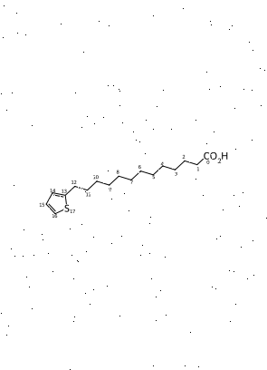 O=C(O)CCCCCCCCCCCCc1cccs1